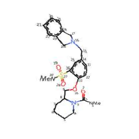 CNC(=O)N1CCCCC1COc1ccc(CN2Cc3ccccc3C2)cc1S(=O)(=O)NC